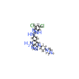 CN1CCN([C@H]2CC[C@H](n3cc(-c4ccc(Nc5nc6c(Cl)cc(Cl)cc6[nH]5)cc4)c4c(N)ncnc43)CC2)CC1